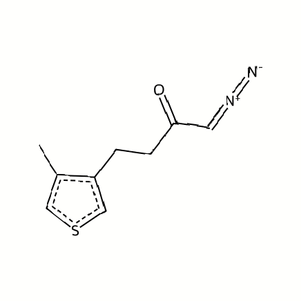 Cc1cscc1CCC(=O)C=[N+]=[N-]